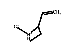 C=CC1CC[NH+]1[O-]